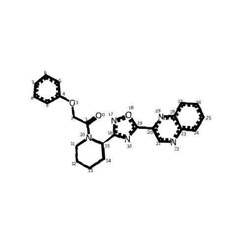 O=C(COc1ccccc1)N1CCCC[C@@H]1c1noc(-c2cnc3ccccc3n2)n1